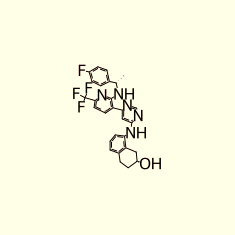 C[C@H](Nc1nc(C(F)(F)F)ccc1-c1cc(Nc2cccc3c2C[C@@H](O)CC3)ncn1)c1ccc(F)cc1